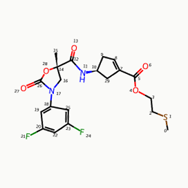 CSCCOC(=O)C1=CC[C@H](NC(=O)[C@]2(C)CN(c3cc(F)cc(F)c3)C(=O)O2)C1